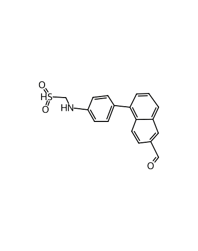 O=Cc1ccc2c(-c3ccc(NC[SH](=O)=O)cc3)cccc2c1